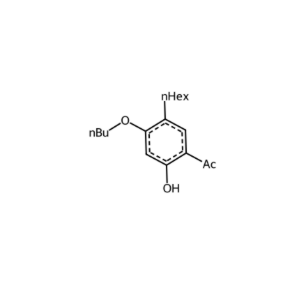 CCCCCCc1cc(C(C)=O)c(O)cc1OCCCC